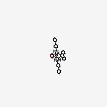 c1ccc(-c2ccc(-c3nc(-c4ccccc4)nc(-c4c(-c5nc(-c6ccccc6)nc(-c6ccc(-c7ccccc7)cc6)n5)c5ccccc5c5ccccc45)n3)cc2)cc1